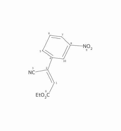 CCOC(=O)C=C(C#N)c1cccc([N+](=O)[O-])c1